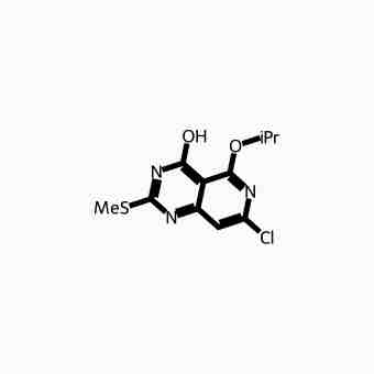 CSc1nc(O)c2c(OC(C)C)nc(Cl)cc2n1